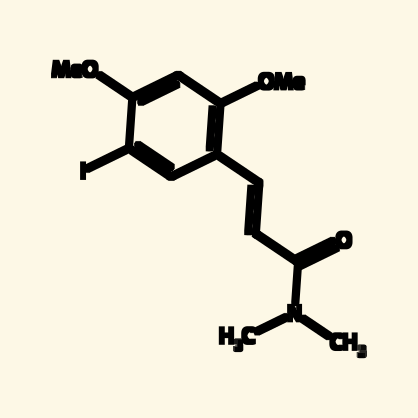 COc1cc(OC)c(/C=C/C(=O)N(C)C)cc1I